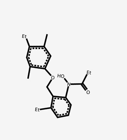 CCC(=O)N(O)c1cccc(CC)c1COc1cc(C)c(CC)cc1C